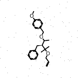 C=CCOC(C)(C)[C@@H](Cc1ccccc1)C(C)OCc1ccc(OC)cc1